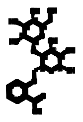 O=C(O)c1ccccc1OC[C@H]1O[C@@H](S)[C@H](O)[C@@H](O)[C@@H]1O[C@@H]1O[C@H](CO)[C@@H](O)[C@H](O)[C@H]1O